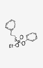 CCOP(=O)(Oc1ccccc1)SCCc1ccccc1